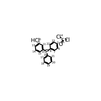 Cl.[O-][S+](Cl)Cl.c1ccc(P(c2ccccc2)c2ccccc2)cc1